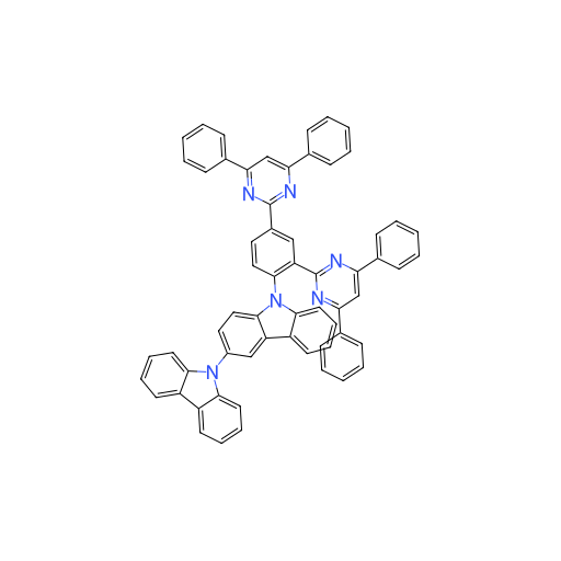 c1ccc(-c2cc(-c3ccccc3)nc(-c3ccc(-n4c5ccccc5c5cc(-n6c7ccccc7c7ccccc76)ccc54)c(-c4nc(-c5ccccc5)cc(-c5ccccc5)n4)c3)n2)cc1